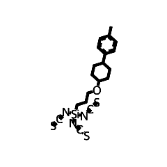 Cc1ccc(C2CCC(OCCC[Si](N=C=S)(N=C=S)N=C=S)CC2)cc1